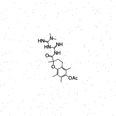 CC(=O)Oc1c(C)c(C)c2c(c1C)CCC(C)(C(=O)NC(=N)NC(=N)N(C)C)O2